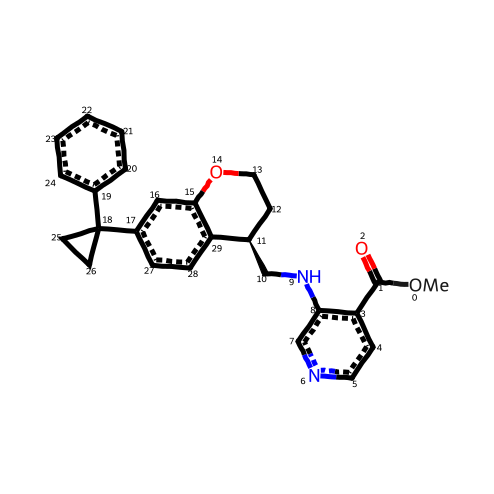 COC(=O)c1ccncc1NC[C@@H]1CCOc2cc(C3(c4ccccc4)CC3)ccc21